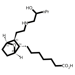 CCCC(O)CNCC[C@H]1[C@H](CCCCCCC(=O)O)[C@H]2CC[C@@H]1O2